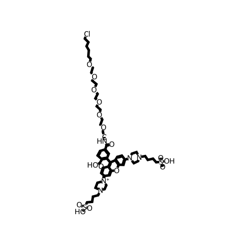 O=C(NCCOCCOCCOCCOCCOCCOCCCCCCCl)c1ccc(C(=O)O)c(-c2c3ccc(=[N+]4CCN(CCCCS(=O)(=O)O)CC4)cc-3oc3cc(N4CCN(CCCCS(=O)(=O)O)CC4)ccc23)c1